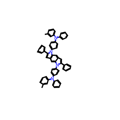 Cc1cccc(N(c2ccccc2)c2ccc(-n3c(-c4ccccc4)cc4cc5c(cc(-c6ccccc6)n5-c5ccc(N(c6ccccc6)c6cccc(C)c6)cc5)cc43)cc2)c1